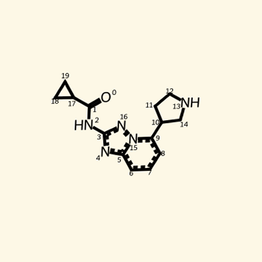 O=C(Nc1nc2cccc(C3CCNC3)n2n1)C1CC1